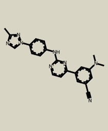 Cc1ncn(-c2ccc(Nc3nccc(-c4cc(C#N)cc(N(C)C)c4)n3)cc2)n1